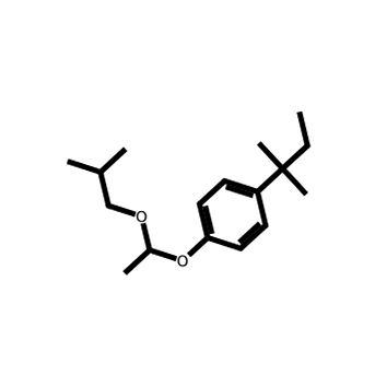 CCC(C)(C)c1ccc(OC(C)OCC(C)C)cc1